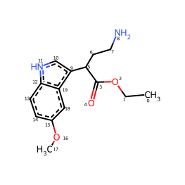 CCOC(=O)C(CCN)c1c[nH]c2ccc(OC)cc12